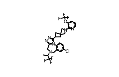 CC(N1Cc2cc(Cl)ccc2-n2c(nnc2C2CC3(C2)CN(c2ncccc2OC(F)(F)F)C3)C1)C(F)(F)F